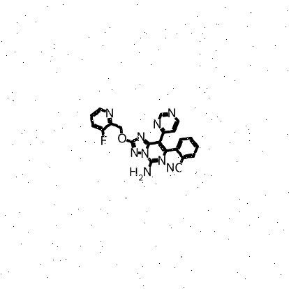 N#Cc1ccccc1-c1nc(N)n2nc(OCc3ncccc3F)nc2c1-c1ccncn1